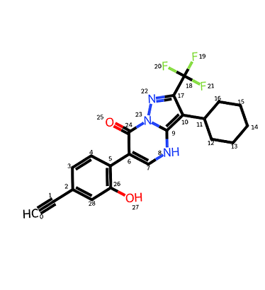 C#Cc1ccc(-c2c[nH]c3c(C4CCCCC4)c(C(F)(F)F)nn3c2=O)c(O)c1